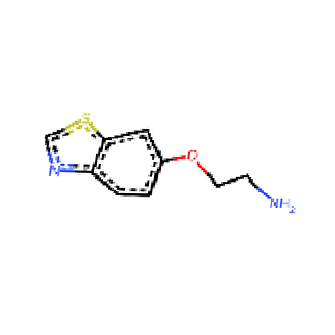 NCCOc1ccc2ncsc2c1